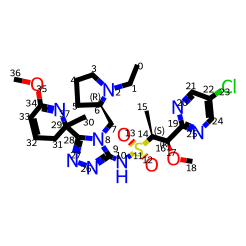 CCN1CCC[C@@H]1Cn1c(NS(=O)(=O)[C@@H](C)[C@H](OC)c2ncc(Cl)cn2)nnc1C1(C)CC=CC(OC)=N1